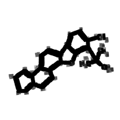 Cc1ccc2c(oc3c2ccc2c4ccccc4ccc23)c1C(C)(C)C